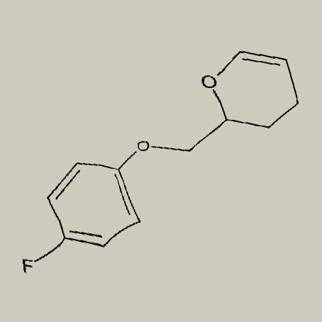 Fc1ccc(OCC2CCC=CO2)cc1